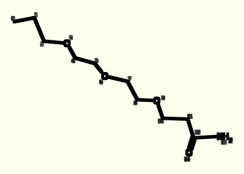 CCCOCCOCCOCCC(N)=O